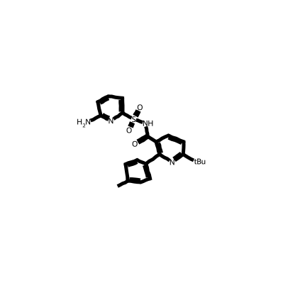 Cc1ccc(-c2nc(C(C)(C)C)ccc2C(=O)NS(=O)(=O)c2cccc(N)n2)cc1